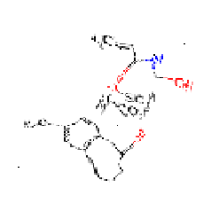 C=CC(=O)NCO.CC(=O)O.COc1ccc2c(c1)CCCC2=O.O=S(=O)(O)O